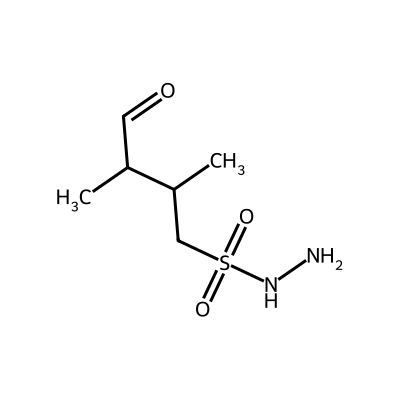 CC(C=O)C(C)CS(=O)(=O)NN